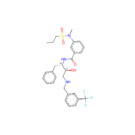 CCCS(=O)(=O)N(C)c1cccc(C(=O)N[C@@H](Cc2ccccc2)[C@@H](O)CNCc2cccc(C(F)(F)F)c2)c1